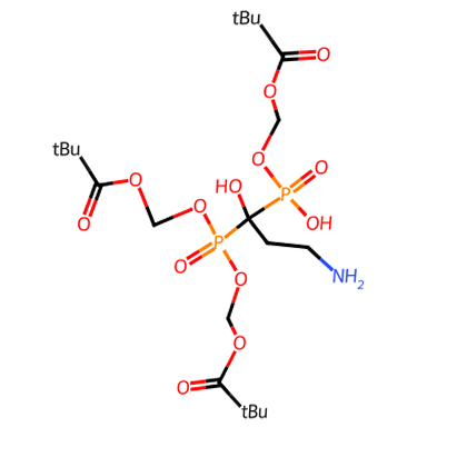 CC(C)(C)C(=O)OCOP(=O)(O)C(O)(CCN)P(=O)(OCOC(=O)C(C)(C)C)OCOC(=O)C(C)(C)C